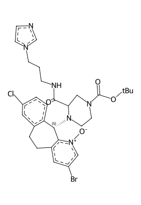 CC(C)(C)OC(=O)N1CCN([C@H]2c3ccc(Cl)cc3CCc3cc(Br)c[n+]([O-])c32)C(C(=O)NCCCn2ccnc2)C1